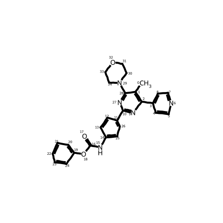 Cc1c(-c2ccncc2)nc(-c2ccc(NC(=O)Oc3ccccc3)cc2)nc1N1CCOCC1